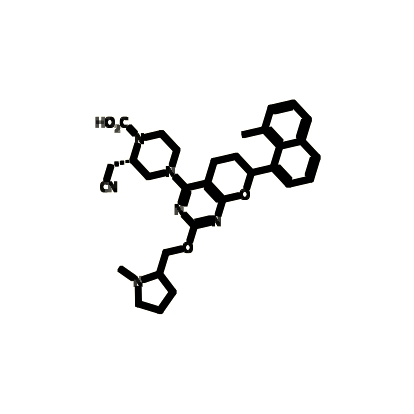 Cc1cccc2cccc(C3CCc4c(nc(OCC5CCCN5C)nc4N4CCN(C(=O)O)[C@@H](CC#N)C4)O3)c12